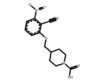 N#Cc1c(OCC2CCN(C(=O)O)CC2)cccc1[N+](=O)[O-]